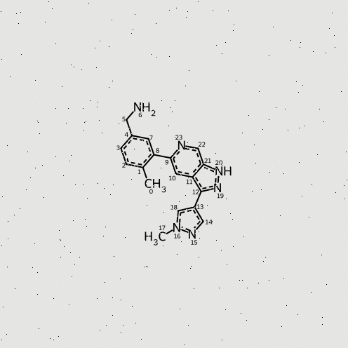 Cc1ccc(CN)cc1-c1cc2c(-c3cnn(C)c3)n[nH]c2cn1